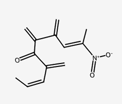 C=C(/C=C\C)C(=O)C(=C)C(=C)/C=C(\C)[N+](=O)[O-]